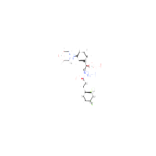 O=C(C=Cc1ccc(F)cc1F)NCC(O)c1cccc(N2CCOCC2)c1